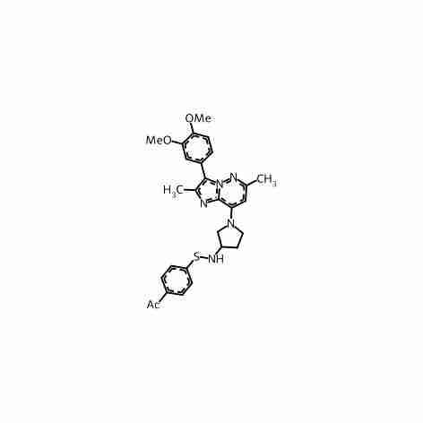 COc1ccc(-c2c(C)nc3c(N4CCC(NSc5ccc(C(C)=O)cc5)C4)cc(C)nn23)cc1OC